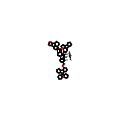 CCC1(CC)c2cc(/C=C/c3cccc4c3-c3ccccc3C4(c3ccccc3)c3ccccc3)ccc2-c2ccc(N(c3ccc4c5c(cccc35)-c3ccccc3-4)c3ccc4c5c(cccc35)-c3ccccc3-4)cc21